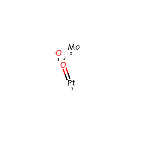 [Mo].[O].[O]=[Pt]